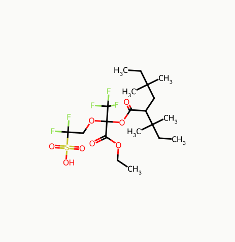 CCOC(=O)C(OCC(F)(F)S(=O)(=O)O)(OC(=O)C(CC(C)(C)CC)C(C)(C)CC)C(F)(F)F